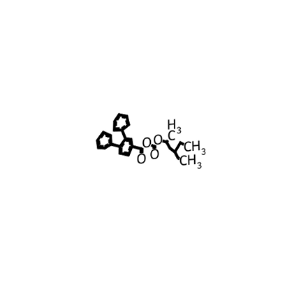 CCC(CC)CC(C)OC(=O)OC(=O)c1ccc(-c2ccccc2)c(-c2ccccc2)c1